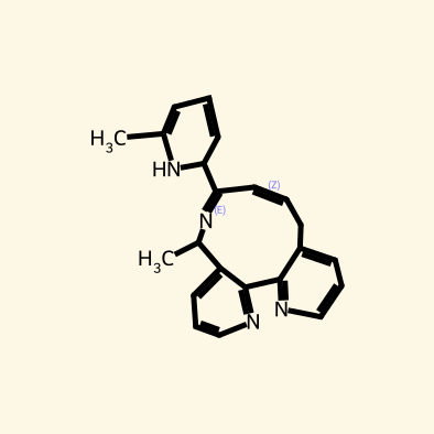 CC1=CC=CC(C2=N/C(C)c3cccnc3-c3ncccc3C/C=C\2)N1